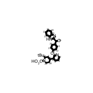 CC(C)(C)C1C=C(c2cccnc2Oc2ccc(C(=O)c3nc4ccccc4[nH]3)cc2)CCN1C(=O)O